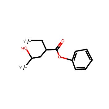 CCC(CC(C)O)C(=O)Oc1ccccc1